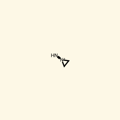 N=[N+]1CC1